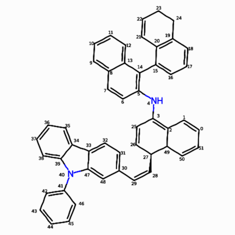 C1=CC2=C(Nc3ccc4ccccc4c3-c3cccc4c3C=CCC4)C=C[C@H](/C=C\c3ccc4c5ccccc5n(-c5ccccc5)c4c3)C2C=C1